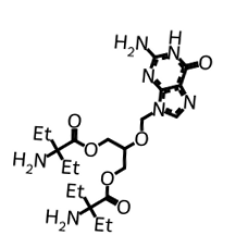 CCC(N)(CC)C(=O)OCC(COC(=O)C(N)(CC)CC)OCn1cnc2c(=O)[nH]c(N)nc21